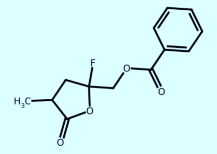 CC1CC(F)(COC(=O)c2ccccc2)OC1=O